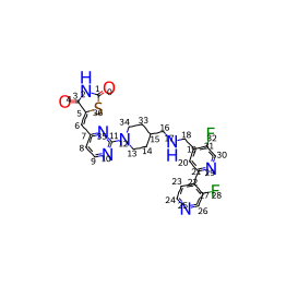 O=C1NC(=O)C(=Cc2ccnc(N3CCC(CNCc4cc(-c5ccncc5F)ncc4F)CC3)n2)S1